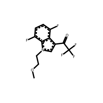 COCCn1cc(C(=O)C(F)(F)F)c2c(F)ccc(F)c21